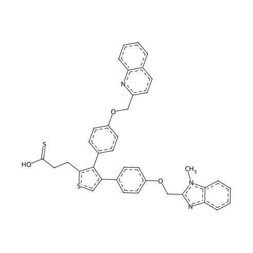 Cn1c(COc2ccc(-c3csc(CCC(O)=S)c3-c3ccc(OCc4ccc5ccccc5n4)cc3)cc2)nc2ccccc21